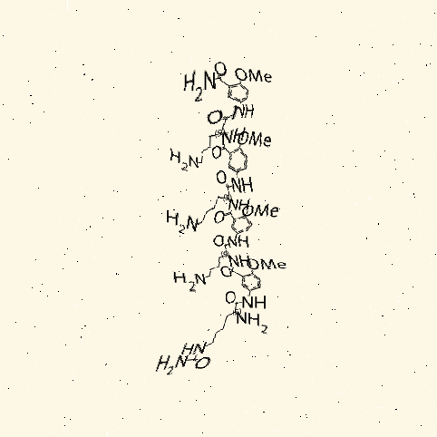 COc1ccc(NC(=O)[C@H](CCCCN)NC(=O)c2cc(NC(=O)[C@H](CCCCN)NC(=O)c3cc(NC(=O)[C@H](CCCCN)NC(=O)c4cc(NC(=O)[C@@H](N)CCCCNC(N)=O)ccc4OC)ccc3OC)ccc2OC)cc1C(N)=O